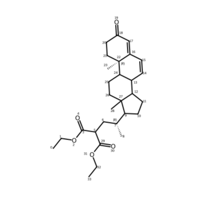 CCOC(=O)C(C[C@@H](C)C1CCC2C3C=CC4=CC(=O)CC[C@]4(C)C3CCC21C)C(=O)OCC